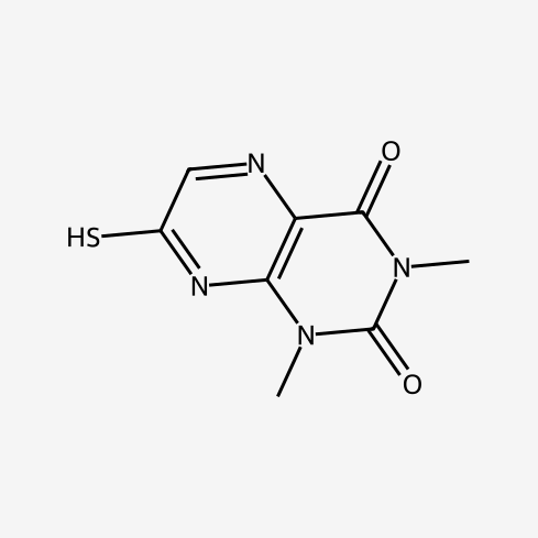 Cn1c(=O)c2ncc(S)nc2n(C)c1=O